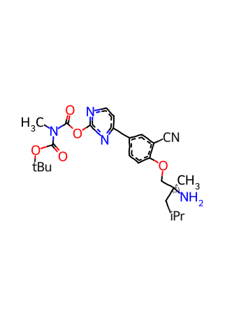 CC(C)C[C@](C)(N)COc1ccc(-c2ccnc(OC(=O)N(C)C(=O)OC(C)(C)C)n2)cc1C#N